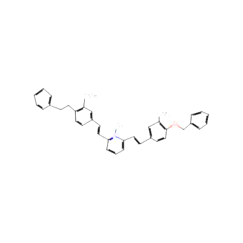 COc1cc(/C=C/c2cccc(/C=C/c3ccc(OCc4ccccc4)c(OC)c3)[n+]2C)ccc1CCc1ccccc1